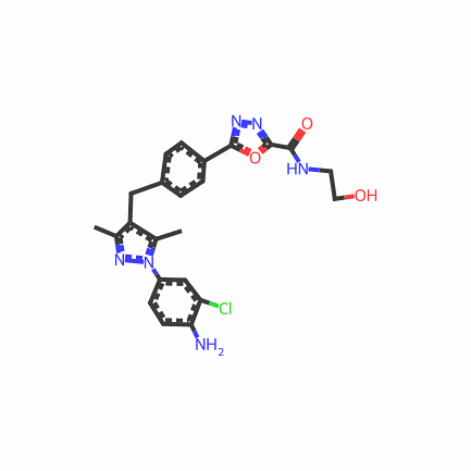 Cc1nn(-c2ccc(N)c(Cl)c2)c(C)c1Cc1ccc(-c2nnc(C(=O)NCCO)o2)cc1